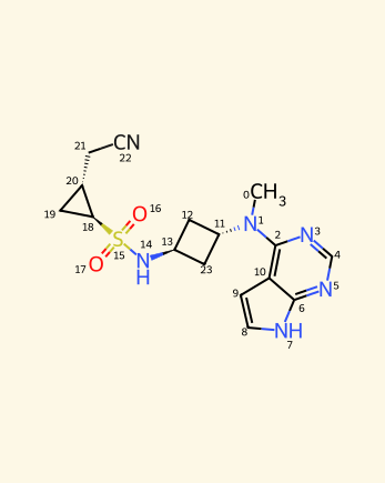 CN(c1ncnc2[nH]ccc12)[C@H]1C[C@H](NS(=O)(=O)[C@H]2C[C@@H]2CC#N)C1